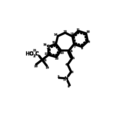 CN(C)CC/C=C1/c2ccccc2CCc2sc(C(C)(C)C(=O)O)cc21